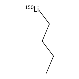 [150Li][CH2]CCC